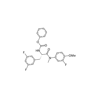 COc1ccc(N(C)C(=O)[C@H](Cc2cc(F)cc(F)c2)NC(=O)Oc2ccccc2)cc1F